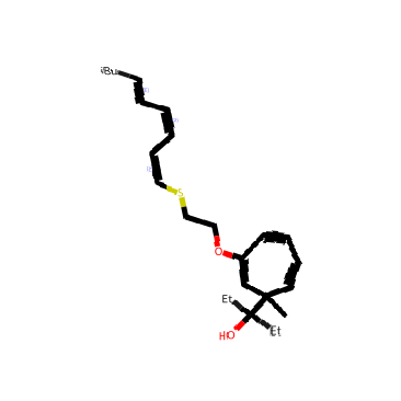 CCC(C)/C=C/C=C\C=C/SCCOC1=CC(C)(C(O)(CC)CC)C=CC=C1